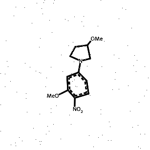 COc1cc(N2CCC(OC)C2)ccc1[N+](=O)[O-]